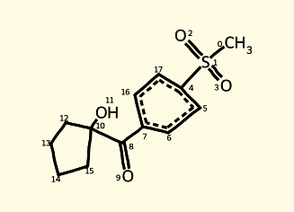 CS(=O)(=O)c1ccc(C(=O)C2(O)CCCC2)cc1